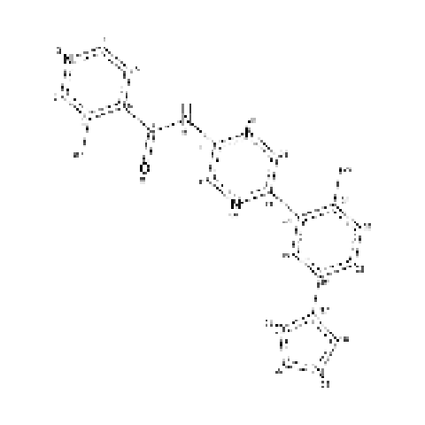 Cc1cnccc1C(=O)Nc1cnc(-c2cc(-c3cnco3)ccc2C)cn1